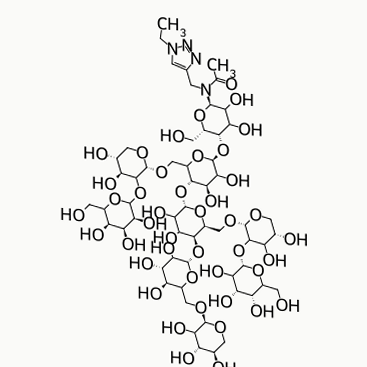 CCn1cc(CN(C(C)=O)[C@@H]2O[C@@H](CO)[C@@H](O[C@@H]3OC(CO[C@H]4OC[C@@H](O)[C@H](O)C4OC4OC(CO)[C@H](O)[C@H](O)[C@@H]4O)[C@@H](O[C@@H]4O[C@@H](CO[C@@H]5OC[C@H](O)C(O)C5O[C@@H]5OC(CO)[C@H](O)[C@H](O)C5O)[C@@H](O[C@@H]5OC(CO[C@H]6OC[C@@H](O)[C@H](O)C6O)[C@@H](O)[C@H](O)C5O)C(O)C4O)[C@H](O)C3O)C(O)C2O)nn1